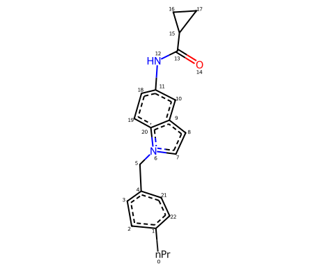 CCCc1ccc(Cn2ccc3cc(NC(=O)C4CC4)ccc32)cc1